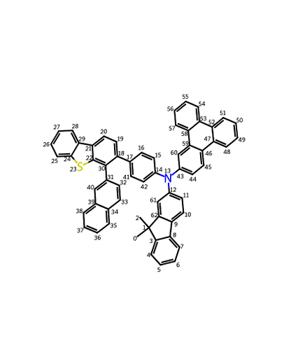 CC1(C)c2ccccc2-c2ccc(N(c3ccc(-c4ccc5c(sc6ccccc65)c4-c4ccc5ccccc5c4)cc3)c3ccc4c5ccccc5c5ccccc5c4c3)cc21